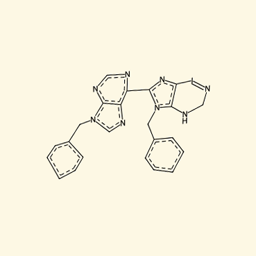 c1ccc(Cn2c(-c3ncnc4c3ncn4Cc3ccccc3)nc3c2NCN=I3)cc1